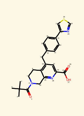 CC(C)(C)C(=O)N1CCc2c(Cc3ccc(-c4cscn4)cc3)cc(C(=O)O)nc2C1